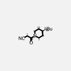 CC[C@H](C)C1CCN(C(=O)CC#N)CC1